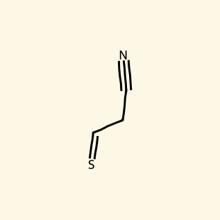 N#CCC=S